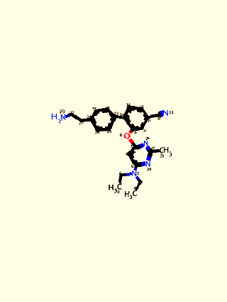 CCN(CC)c1cc(Oc2cc(C#N)ccc2-c2ccc(CCN)cc2)nc(C)n1